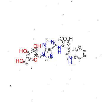 O=C(O)[C@@H](Cc1c[nH]c2ccccc12)Nc1ncnc2c1ncn2[C@@H]1O[C@H](CO)C(O)[C@@H]1O